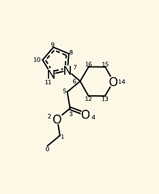 CCOC(=O)CC1(n2cccn2)CCOCC1